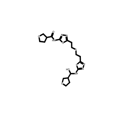 O=C(Nc1nnc(CCSCCc2nnc(NC(O)C3CCOC3)s2)s1)C1CCOC1